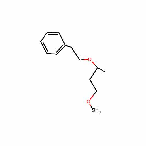 CC(CCO[SiH3])OCCc1ccccc1